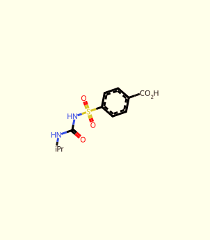 CC(C)NC(=O)NS(=O)(=O)c1ccc(C(=O)O)cc1